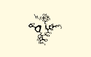 CC(C)(C)OC(=O)CON=C(C(=O)OC(=O)C1=C(Sc2ccc(-c3ccco3)cc2)CS[C@H]2C(N)C(=O)N12)c1csc(N)n1